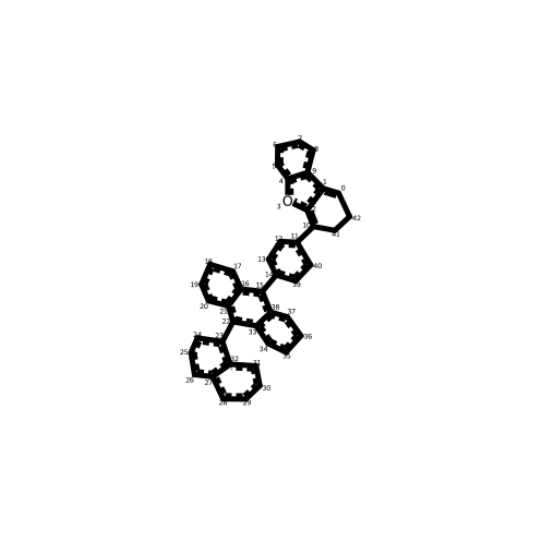 C1=c2c(oc3ccccc23)=C(c2ccc(-c3c4ccccc4c(-c4cccc5ccccc45)c4ccccc34)cc2)CC1